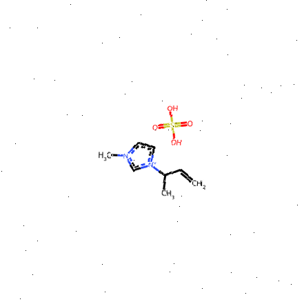 C=CC(C)[n+]1ccn(C)c1.O=S(=O)(O)O